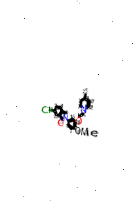 COc1ccc(N2Cc3ccc(Cl)cc3C2=O)cc1OCCN1CCC(C)CC1